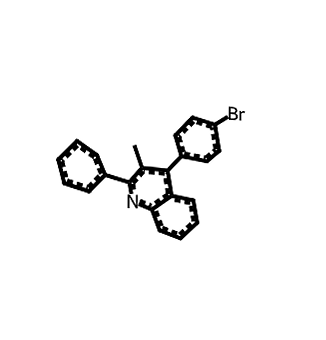 Cc1c(-c2ccccc2)nc2ccccc2c1-c1ccc(Br)cc1